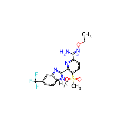 CCO/N=C(\N)c1ccc(S(C)(=O)=O)c(-c2nc3cc(C(F)(F)F)ccc3n2C)n1